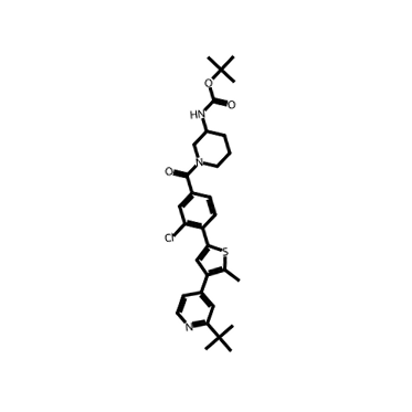 Cc1sc(-c2ccc(C(=O)N3CCCC(NC(=O)OC(C)(C)C)C3)cc2Cl)cc1-c1ccnc(C(C)(C)C)c1